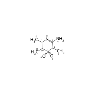 CC1N=C(N)C(C)S(=O)(=O)C1C